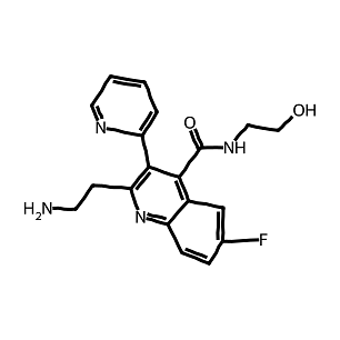 NCCc1nc2ccc(F)cc2c(C(=O)NCCO)c1-c1ccccn1